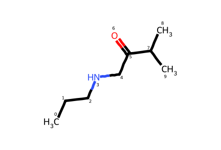 CCCNCC(=O)C(C)C